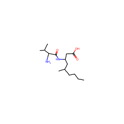 CCCCC(C)CC(CC(=O)O)NC(=O)C(N)C(C)C